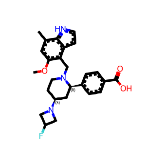 COc1cc(C)c2[nH]ccc2c1CN1CC[C@H](N2CC(F)C2)C[C@@H]1c1ccc(C(=O)O)cc1